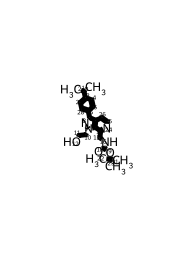 CC(C)c1ccc(-c2nn(CCO)c3c(CNC(=O)OC(C)(C)C)nccc23)cc1